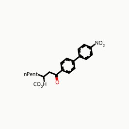 CCCCCC(CC(=O)c1ccc(-c2ccc([N+](=O)[O-])cc2)cc1)C(=O)O